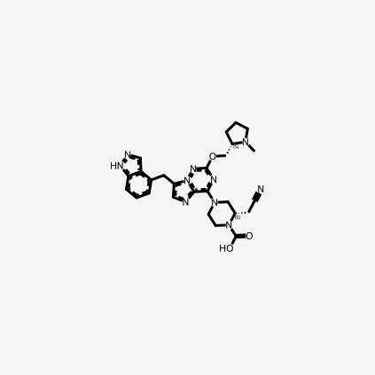 CN1CCC[C@H]1COc1nc(N2CCN(C(=O)O)[C@@H](CC#N)C2)c2ncc(Cc3cccc4[nH]ncc34)n2n1